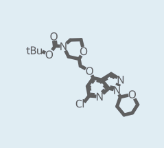 CC(C)(C)OC(=O)N1CCOC(COc2cc(Cl)nc3c2cnn3C2CCCCO2)C1